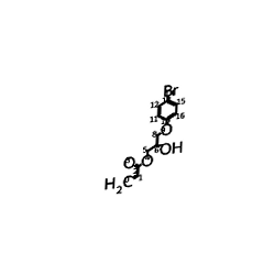 C=CC(=O)OCC(O)COc1ccc(Br)cc1